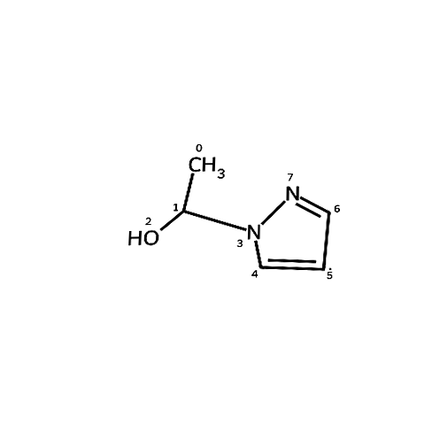 CC(O)n1c[c]cn1